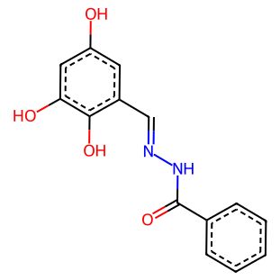 O=C(NN=Cc1cc(O)cc(O)c1O)c1ccccc1